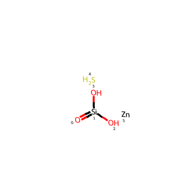 O=[Si](O)O.S.[Zn]